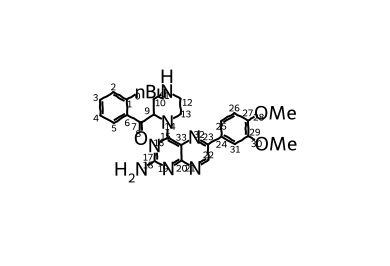 CCCCc1ccccc1C(=O)C1CNCCN1c1nc(N)nc2ncc(-c3ccc(OC)c(OC)c3)nc12